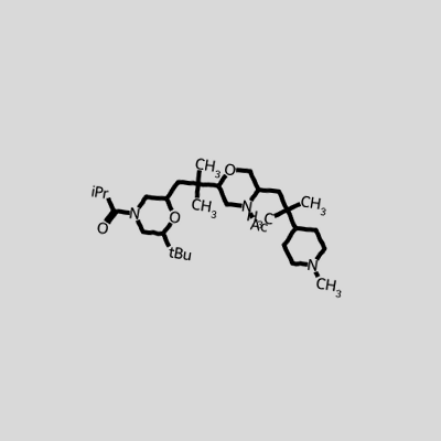 CC(=O)N1CC(C(C)(C)CC2CN(C(=O)C(C)C)CC(C(C)(C)C)O2)OCC1CC(C)(C)C1CCN(C)CC1